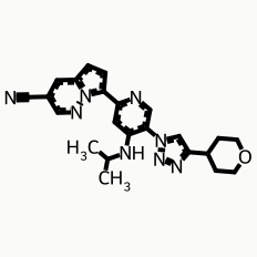 CC(C)Nc1cc(-c2ccc3cc(C#N)cnn23)ncc1-n1cc(C2CCOCC2)nn1